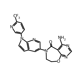 Nc1ncnc2c1C(=O)N(c1cnc3c(ccn3-c3ccc(C(F)(F)F)nc3)c1)CCO2